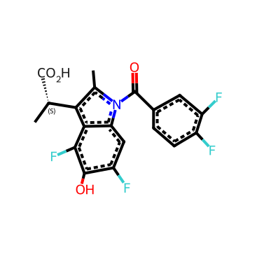 Cc1c([C@H](C)C(=O)O)c2c(F)c(O)c(F)cc2n1C(=O)c1ccc(F)c(F)c1